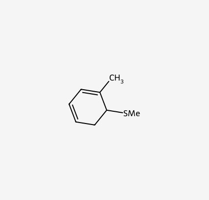 CSC1CC=CC=C1C